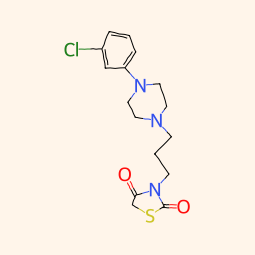 O=C1CSC(=O)N1CCCN1CCN(c2cccc(Cl)c2)CC1